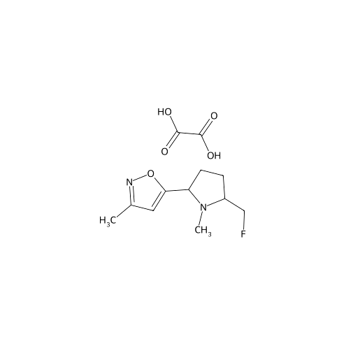 Cc1cc(C2CCC(CF)N2C)on1.O=C(O)C(=O)O